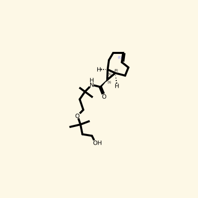 CC(C)(CCOC(C)(C)CCO)NC(=O)[C@@H]1[C@@H]2CC/C=C/CC[C@@H]21